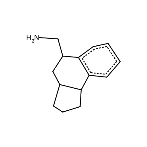 NCC1CC2CCCC2c2ccccc21